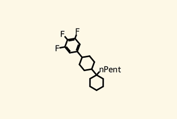 CCCCCC1(C2CCC(c3cc(F)c(F)c(F)c3)CC2)CCCCC1